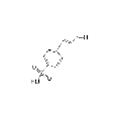 O=C/C=C/c1ccc(S(=O)(=O)O)cc1